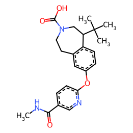 CNC(=O)c1ccc(Oc2ccc3c(c2)CCN(C(=O)O)CC3C(C)(C)C)nc1